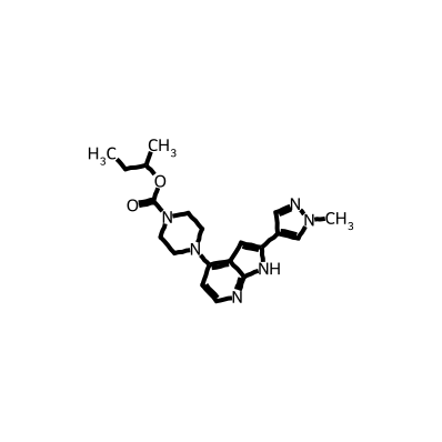 CCC(C)OC(=O)N1CCN(c2ccnc3[nH]c(-c4cnn(C)c4)cc23)CC1